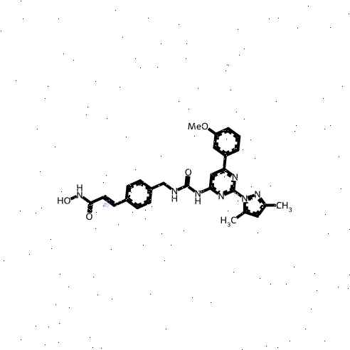 COc1cccc(-c2cc(NC(=O)NCc3ccc(/C=C/C(=O)NO)cc3)nc(-n3nc(C)cc3C)n2)c1